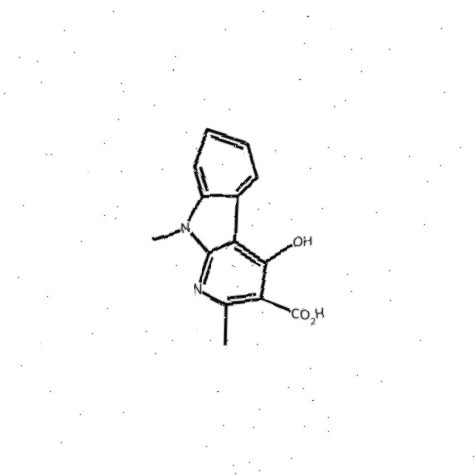 Cc1nc2c(c(O)c1C(=O)O)c1ccccc1n2C